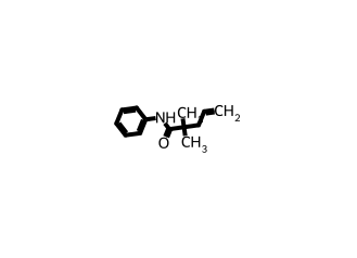 C=CCC(C)(C)C(=O)Nc1ccccc1